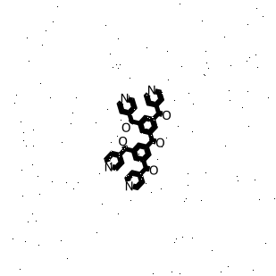 O=C(c1ccncc1)c1cc(C(=O)c2ccncc2)cc(C(=O)c2cc(C(=O)c3ccncc3)cc(C(=O)c3ccncc3)c2)c1